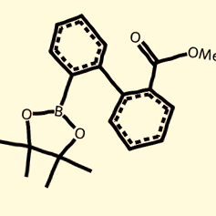 COC(=O)c1ccccc1-c1ccccc1B1OC(C)(C)C(C)(C)O1